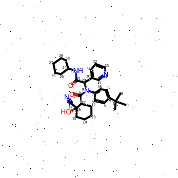 CC(C)(C)c1ccc(N(C(=O)[C@H]2CCCCC2(O)C#N)C(C(=O)NC2CCCCC2)c2cccnc2)cc1